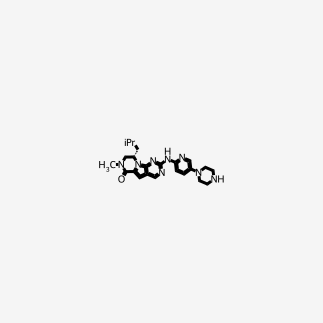 CC(C)C[C@H]1CN(C)C(=O)c2cc3cnc(Nc4ccc(N5CCNCC5)cn4)nc3n21